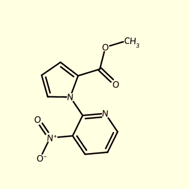 COC(=O)c1cccn1-c1ncccc1[N+](=O)[O-]